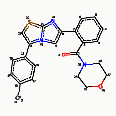 O=C(c1ccccc1-c1cn2c(-c3ccc(C(F)(F)F)cc3)csc2n1)N1CCOCC1